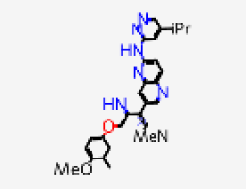 CN/C=C(\C(=N)COC1=CC=C(OC)C(C)C1)c1cnc2ccc(Nc3cc(C(C)C)cnn3)nc2c1